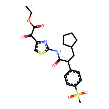 CCOC(=O)C(=O)c1csc(NC(=O)C(CC2CCCC2)c2ccc(S(C)(=O)=O)cc2)n1